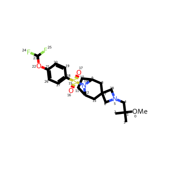 COC(C)(C)CN1CC2(CC3CCC(C2)N3S(=O)(=O)c2ccc(OC(F)F)cc2)C1